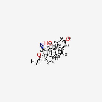 CC(=O)[C@H]1CC[C@H]2[C@@H]3CCC4=CC(=O)CC[C@]4(C)[C@H]3[C@@H](O)C[C@]12CC#N